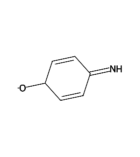 N=C1C=CC([O])C=C1